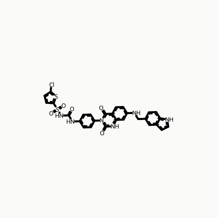 O=C(Nc1ccc(-n2c(=O)[nH]c3cc(NCc4ccc5[nH]ccc5c4)ccc3c2=O)cc1)NS(=O)(=O)c1ccc(Cl)s1